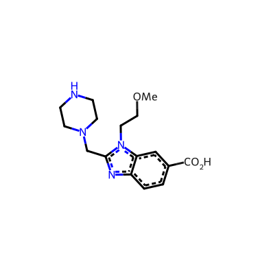 COCCn1c(CN2CCNCC2)nc2ccc(C(=O)O)cc21